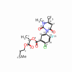 CSCCOC(=O)[C@@H](C)OC(=O)c1cc(-n2c(=O)cc(C(F)(F)F)n(C)c2=O)c(F)cc1Cl